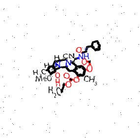 C=CCOC(=O)Oc1c(C)c2c(c3c1CC1C4c5c(cc(C)c(OC)c5O)C[C@H]([C@H](C#N)N1[C@H]3CNC(=O)/C=C/c1ccccc1)N4C)OCO2